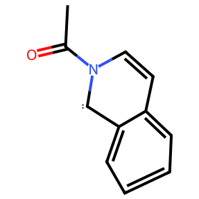 CC(=O)N1[C]c2ccccc2C=C1